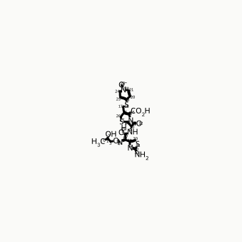 CC(O)CO/N=C(\C(=O)N[C@@H]1C(=O)N2C(C(=O)O)=C(CSc3cc[n+]([O-])cc3)CS[C@H]12)c1csc(N)n1